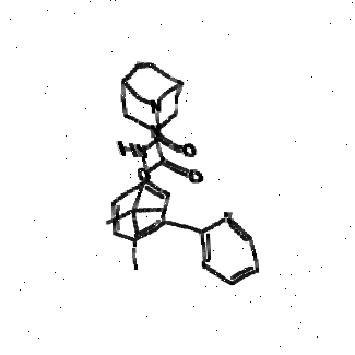 Cc1ccc(NC(=O)N2C3CC2CN(C(=O)OC(C)(C)C)C3)cc1-c1ccccn1